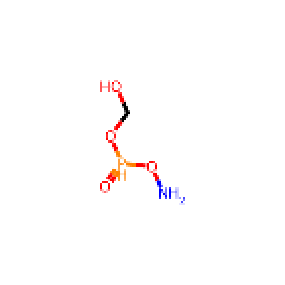 NO[PH](=O)OCO